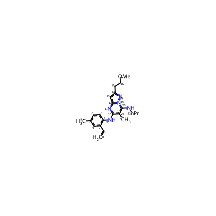 C=Cc1cc(C)ccc1Nc1nc2cc(CCOC)nn2c(NCCC)c1C